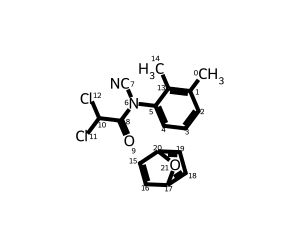 Cc1cccc(N(C#N)C(=O)C(Cl)Cl)c1C.c1cc2ccc1o2